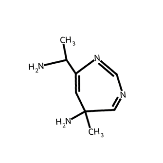 CC(N)C1=CC(C)(N)C=NC=N1